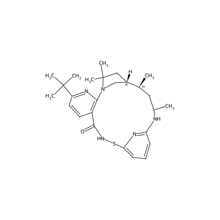 CC1C[C@H](C)[C@@H]2CN(c3nc(C(C)(C)C)ccc3C(=O)NSc3cccc(n3)N1)C(C)(C)C2